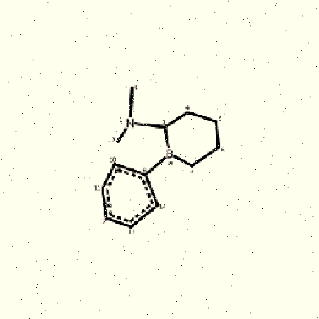 CN(C)C1CCCCB1c1ccccc1